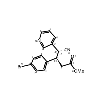 COC(=O)C[C@@H](c1ccc(Br)cc1)[C@@H](C#N)c1cccnc1